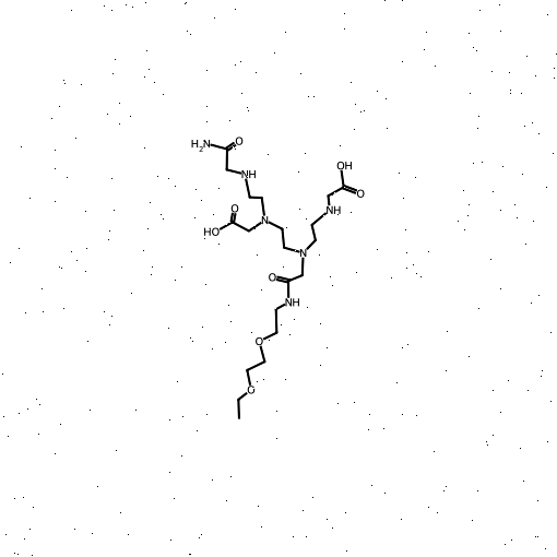 CCOCCOCCNC(=O)CN(CCNCC(=O)O)CCN(CCNCC(N)=O)CC(=O)O